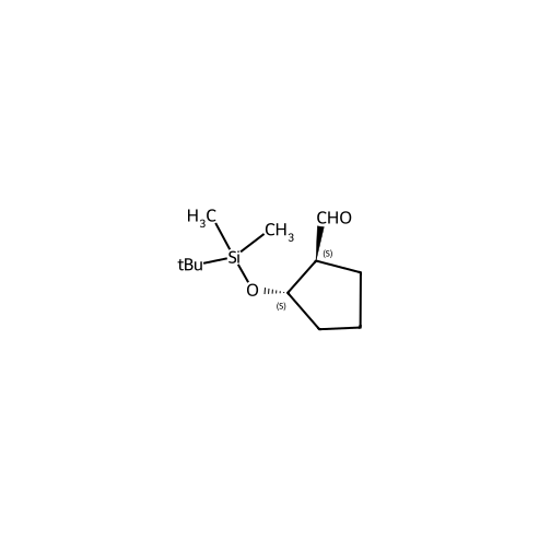 CC(C)(C)[Si](C)(C)O[C@H]1CCC[C@@H]1C=O